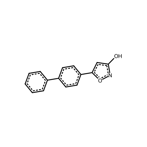 Oc1cc(-c2ccc(-c3ccccc3)cc2)on1